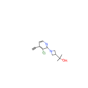 C#Cc1ccnc(N2CC(C(C)(C)O)C2)c1Cl